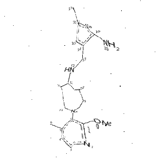 COc1nccc(C)c1N1CCC(NCc2cn(C)nc2N)CC1